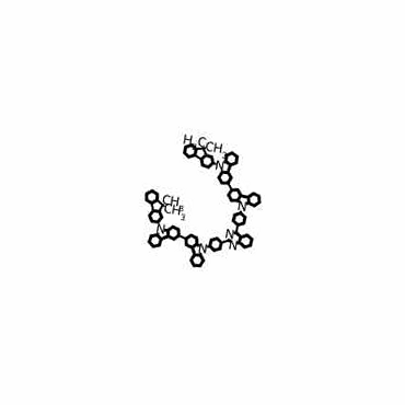 CC1(C)c2ccccc2-c2ccc(-n3c4ccccc4c4cc(-c5ccc6c(c5)c5ccccc5n6-c5ccc(-c6nc(-c7ccc(-n8c9ccccc9c9cc(-c%10ccc%11c(c%10)c%10ccccc%10n%11-c%10ccc%11c(c%10)C(C)(C)c%10ccccc%10-%11)ccc98)cc7)c7ccccc7n6)cc5)ccc43)cc21